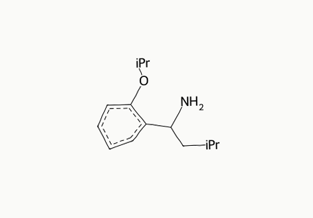 CC(C)CC(N)c1ccccc1OC(C)C